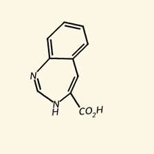 O=C(O)C1=Cc2ccccc2N=CN1